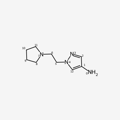 Nc1cnn(CCN2CCCC2)c1